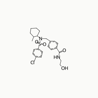 CC1CCCCC1N(Cc1ccc(C(=O)NCCO)cc1)S(=O)(=O)c1ccc(Cl)cc1